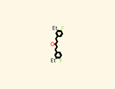 CCc1cc(CCC(=O)CCc2ccc(F)c(CC)c2)ccc1F